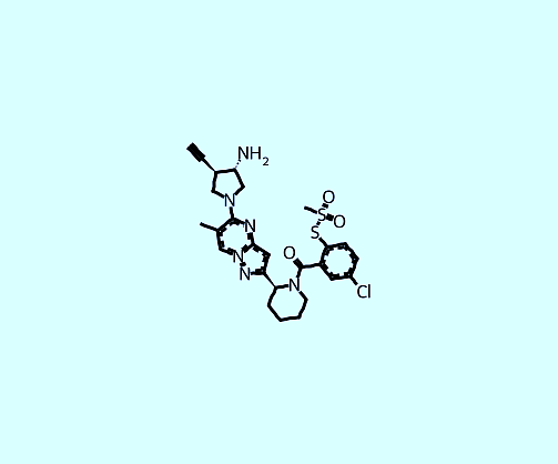 C#C[C@@H]1CN(c2nc3cc([C@@H]4CCCCN4C(=O)c4cc(Cl)ccc4SS(C)(=O)=O)nn3cc2C)C[C@H]1N